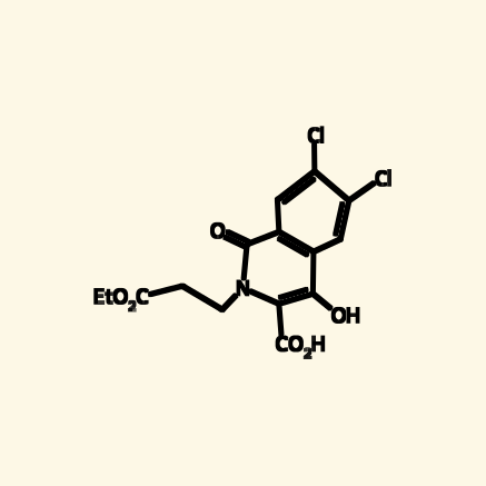 CCOC(=O)CCn1c(C(=O)O)c(O)c2cc(Cl)c(Cl)cc2c1=O